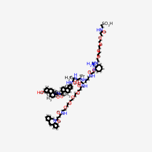 CC(C)[C@H](NC(=O)[C@@H](CCCCNC(=O)COC1CCCCC/C(NCCOCCOCCOCCOCCC(=O)NCCS(=O)(=O)O)=C\1NN)NC(=O)CCOCCOCCOCCOCCNC(=O)CCC(=O)N1Cc2ccccc2C#Cc2ccccc21)C(=O)N[C@@H](C)C(=O)Nc1ccc2c(c1)[C@@]1(C)CCC[C@](C)(C(=O)NC(=O)[C@@]3(C)CCC[C@]4(C)c5cc(O)ccc5CC[C@@H]34)C1CC2